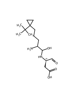 CC(C)(C)C1(CCCC(N)C(O)N[C@@H](C=O)CC(=O)O)CC1